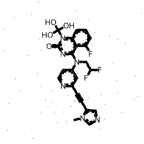 Cn1cncc1C#Cc1cc(N(CC(F)F)c2nc(=O)n(C(O)(O)O)c3cccc(F)c23)ccn1